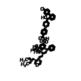 CCN(CC)C[C@H]1COCCN1CC[C@H](CSc1ccccc1)Nc1ccc(S(=O)(=O)NC(=O)c2ccc(N3CCC([C@H](O)c4ccccc4-c4ccc(Cl)cc4)CC3)cc2)cc1S(=O)(=O)C(F)(F)F